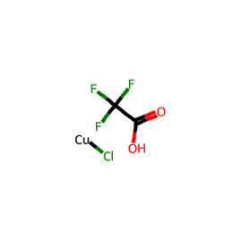 O=C(O)C(F)(F)F.[Cl][Cu]